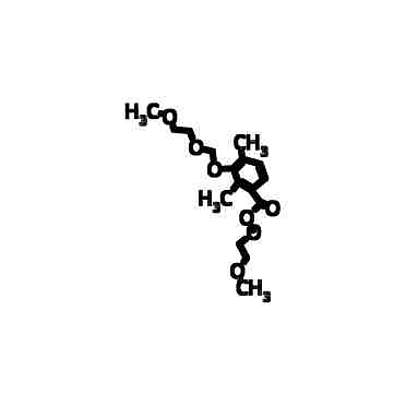 COCCOCOc1c(C)ccc(C(=O)OOCCOC)c1C